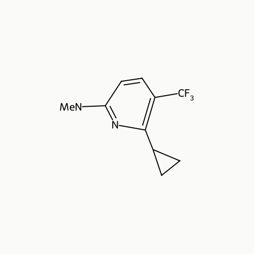 CNc1ccc(C(F)(F)F)c(C2CC2)n1